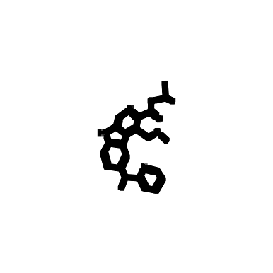 COCc1c(C(=O)OC(C)C)ncc2[nH]c3ccc(C(C)c4ccccn4)cc3c12